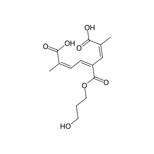 CC(=CC=C(C=C(C)C(=O)O)C(=O)OCCCO)C(=O)O